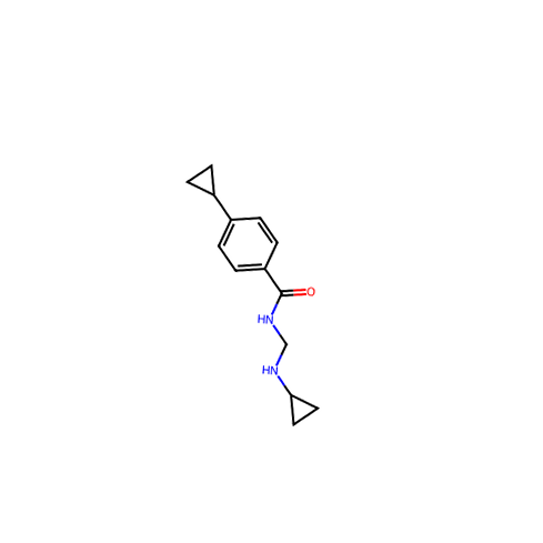 O=C(NCNC1CC1)c1ccc(C2CC2)cc1